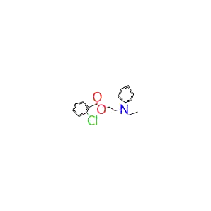 CCN(CCOC(=O)c1ccccc1Cl)c1ccccc1